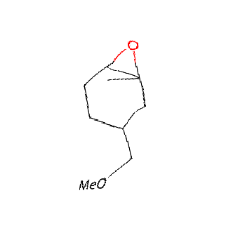 COCC1CCC2OC2(C)C1